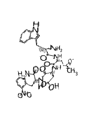 C[S+]([O-])CC[C@H](NC(=O)[C@H](N)Cc1c[nH]c2ccccc12)C(=O)N[C@@H](CC(=O)O)C(=O)N[C@@H](Cc1ccccc1[N+](=O)[O-])C(N)=O